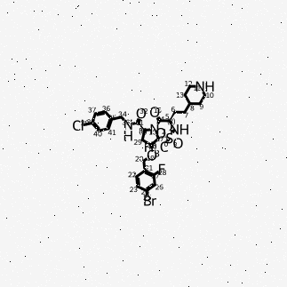 CS(=O)(=O)N[C@H](CCC1CCNCC1)C(=O)N1C[C@H](OCc2ccc(Br)cc2F)C[C@H]1C(=O)NCc1ccc(Cl)cc1